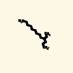 [CH2]COC(CC)CCCCCCCCC